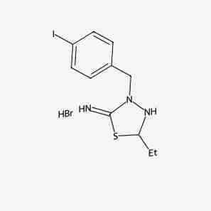 Br.CCC1NN(Cc2ccc(I)cc2)C(=N)S1